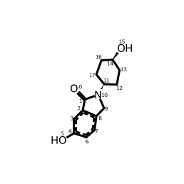 O=C1c2cc(O)ccc2CN1[C@H]1CC[C@H](O)CC1